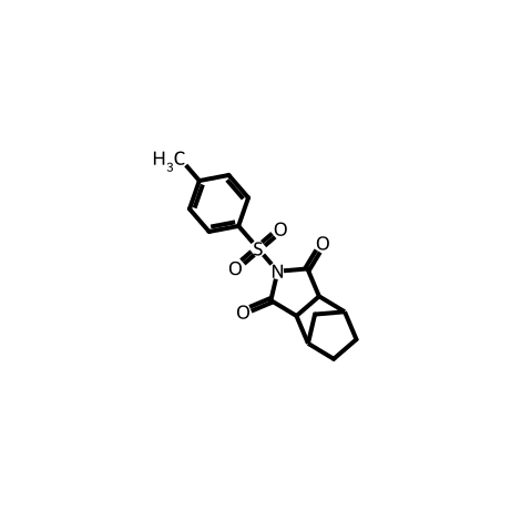 Cc1ccc(S(=O)(=O)N2C(=O)C3C4CCC(C4)C3C2=O)cc1